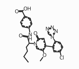 CCCCC(C(=O)Nc1ccc(C(=O)O)cc1)n1cc(OC)c(-c2cc(Cl)ccc2-n2cnnn2)cc1=O